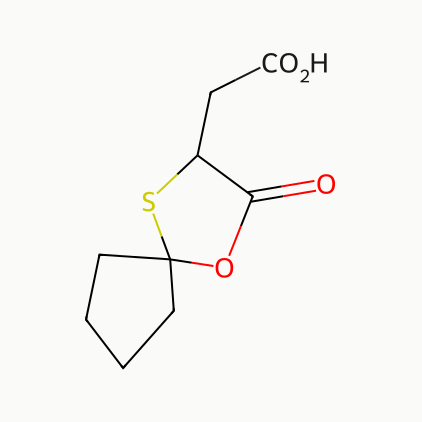 O=C(O)CC1SC2(CCCC2)OC1=O